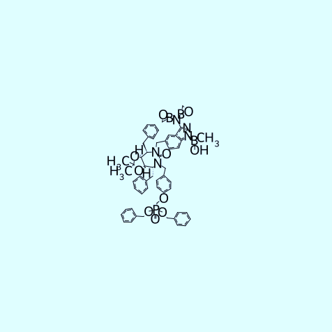 CB(O)n1nc(N(B2CO2)B2CO2)c2cc(CN3C(=O)N(Cc4ccc(OCP(=O)(OCc5ccccc5)OCc5ccccc5)cc4)[C@H](Cc4ccccc4)[C@@H]4OC(C)(C)O[C@H]4[C@H]3Cc3ccccc3)ccc21